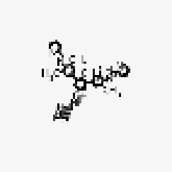 Br.Br.Br.Br.Cc1cc(-c2cc(O)cc(-c3cc(C)c(N=Cc4ccccn4)c(C)c3)c2C)cc(C)c1N=Cc1ccccn1.[Ni].[Ni]